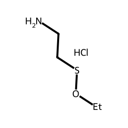 CCOSCCN.Cl